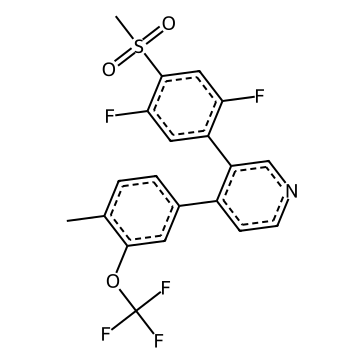 Cc1ccc(-c2ccncc2-c2cc(F)c(S(C)(=O)=O)cc2F)cc1OC(F)(F)F